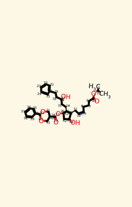 CC(C)OC(=O)CCC/C=C\C[C@@H]1[C@H](CC[C@@H](O)CCc2ccccc2)[C@H](OC(=O)C2COC(c3ccccc3)OC2)C[C@@H]1O